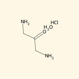 Cl.NCC(=O)CN.O